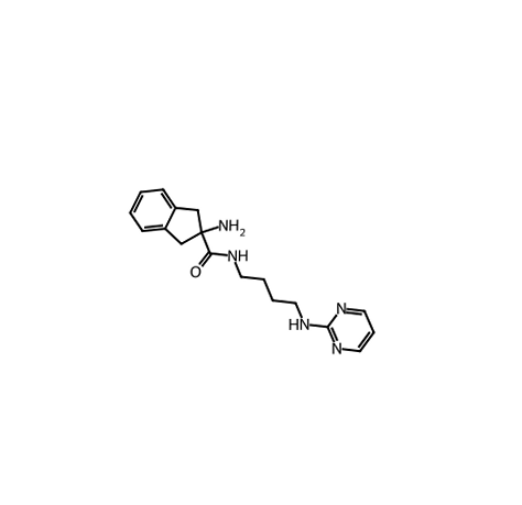 NC1(C(=O)NCCCCNc2ncccn2)Cc2ccccc2C1